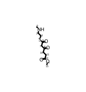 CNCCSC(=O)CC(=O)CCC(=O)OC